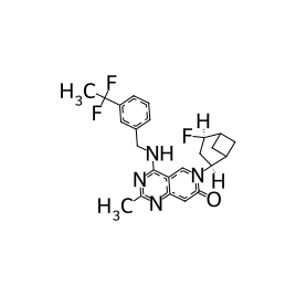 Cc1nc(NCc2cccc(C(C)(F)F)c2)c2cn([C@H]3C[C@@H](F)C4CC3C4)c(=O)cc2n1